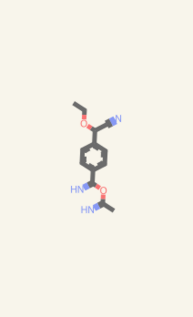 CCOC(C#N)c1ccc(C(=N)OC(C)=N)cc1